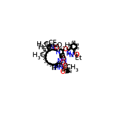 CCOc1nnc(O[C@@H]2C[C@H]3C(=O)N[C@]4(C(=O)NS(=O)(=O)C5(C)CC5)C[C@H]4C=CCC[C@H](C)C[C@@H](CC)[C@H](N(C(=O)O)C(C)(C)C(F)(F)F)C(=O)N3C2)c2ccccc12